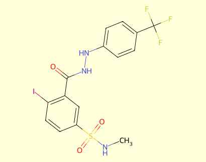 CNS(=O)(=O)c1ccc(I)c(C(=O)NNc2ccc(C(F)(F)F)cc2)c1